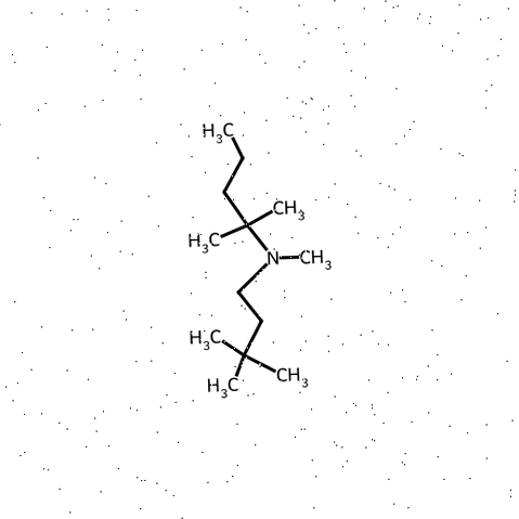 CCCC(C)(C)N(C)CCC(C)(C)C